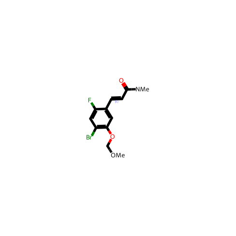 CNC(=O)/C=C/c1cc(OCOC)c(Br)cc1F